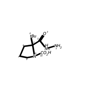 CC(C)(C)C1(C(=O)NN)CCCN1C(=O)O